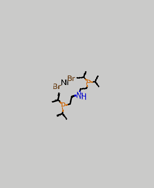 CC(C)P(CCNCCP(C(C)C)C(C)C)C(C)C.[Br][Ni][Br]